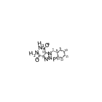 NC(=O)c1nnn(Cc2ccccc2F)c1C(N)=O